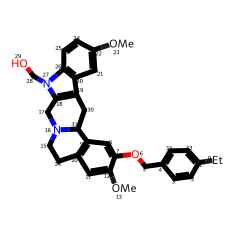 CCc1ccc(COc2cc3c(cc2OC)CCN2Cc4c(c5cc(OC)ccc5n4CO)CC32)cc1